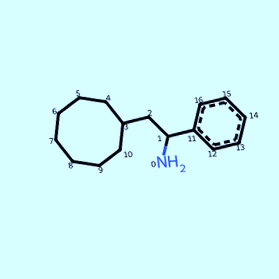 NC(CC1CCCCCCC1)c1ccccc1